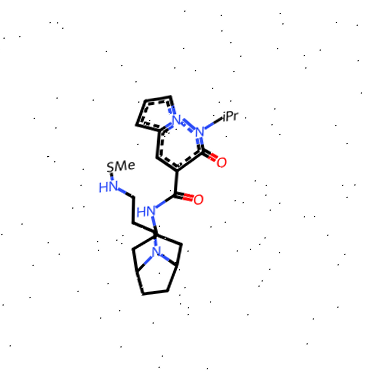 CSNCCCN1C2CCC1CC(NC(=O)c1cc3cccn3n(C(C)C)c1=O)C2